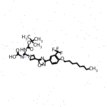 CCCCCCCCOc1ccc(-c2noc(C3CN(/C(=N/C(=O)O)NC(=O)OC(C)(C)C)C3)n2)cc1C(F)(F)F